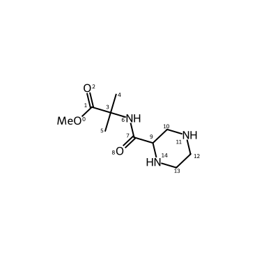 COC(=O)C(C)(C)NC(=O)C1CNCCN1